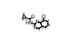 O=C(Nc1ncc2cccc(Cl)c2n1)C1CC1